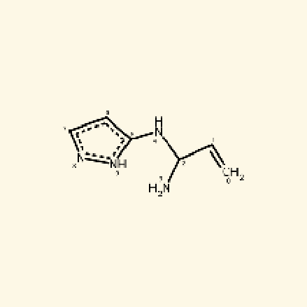 C=CC(N)Nc1ccn[nH]1